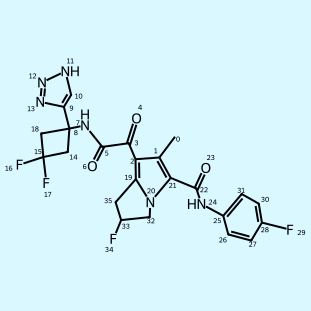 Cc1c(C(=O)C(=O)NC2(c3c[nH]nn3)CC(F)(F)C2)c2n(c1C(=O)Nc1ccc(F)cc1)CC(F)C2